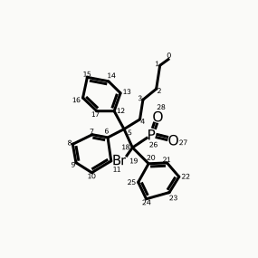 CCCCCC(c1ccccc1)(c1ccccc1)C(Br)(c1ccccc1)P(=O)=O